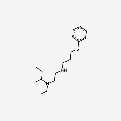 CCC(C)N(CC)CCNCCCSc1ccccc1